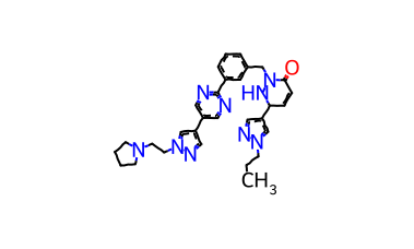 CCCn1cc(C2C=CC(=O)N(Cc3cccc(-c4ncc(-c5cnn(CCN6CCCC6)c5)cn4)c3)N2)cn1